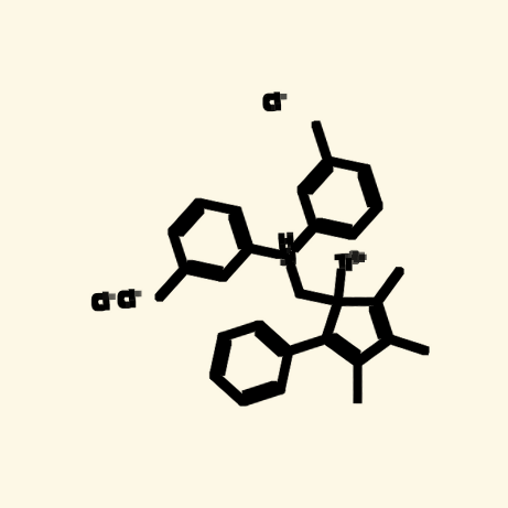 CC1=C(C)[C]([Ti+3])(C[SiH](c2cccc(C)c2)c2cccc(C)c2)C(c2ccccc2)=C1C.[Cl-].[Cl-].[Cl-]